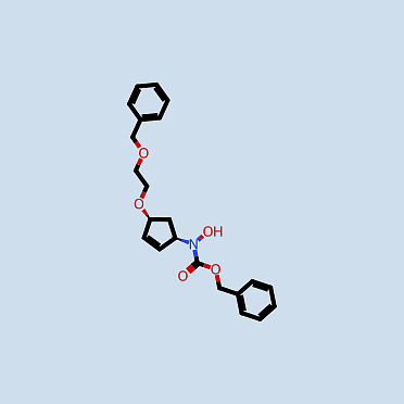 O=C(OCc1ccccc1)N(O)[C@H]1C=C[C@@H](OCCOCc2ccccc2)C1